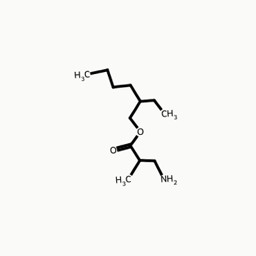 CCCCC(CC)COC(=O)C(C)CN